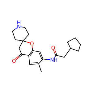 Cc1cc2c(cc1NC(=O)CC1CCCC1)OC1(CCNCC1)CC2=O